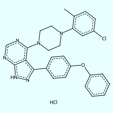 Cc1ccc(Cl)cc1N1CCN(c2ncnc3[nH]nc(-c4ccc(Oc5ccccc5)cc4)c23)CC1.Cl